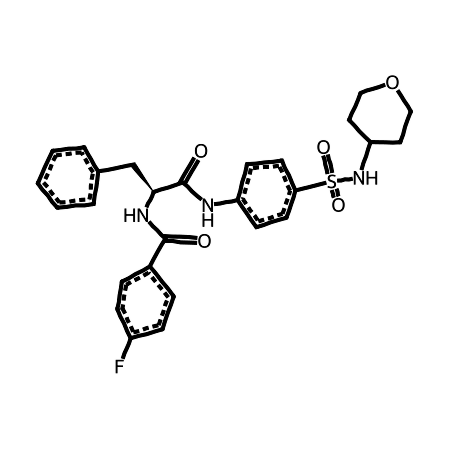 O=C(N[C@@H](Cc1ccccc1)C(=O)Nc1ccc(S(=O)(=O)NC2CCOCC2)cc1)c1ccc(F)cc1